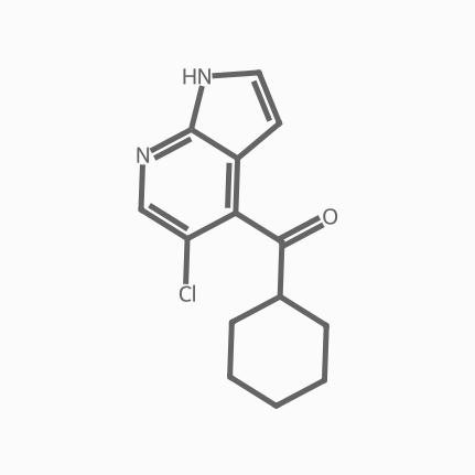 O=C(c1c(Cl)cnc2[nH]ccc12)C1CCCCC1